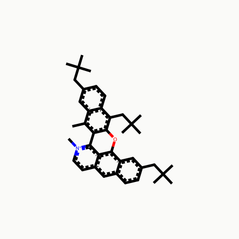 Cc1c2c(c(CC(C)(C)C)c3ccc(CC(C)(C)C)cc13)Oc1c3cc(CC(C)(C)C)ccc3cc3cc[n+](C)c-2c13